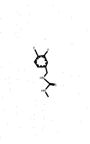 CNC(=S)NCc1ccc(F)c(F)c1